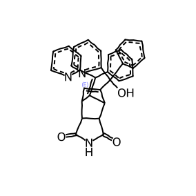 O=C1NC(=O)C2C3C(C(O)(c4ccccc4)c4ccccn4)=CC(/C3=C(/c3ccccc3)c3ccccn3)C12